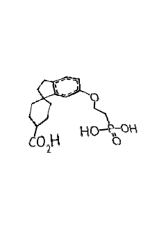 O=C(O)C1CCC2(CCc3ccc(OCCP(=O)(O)O)cc32)CC1